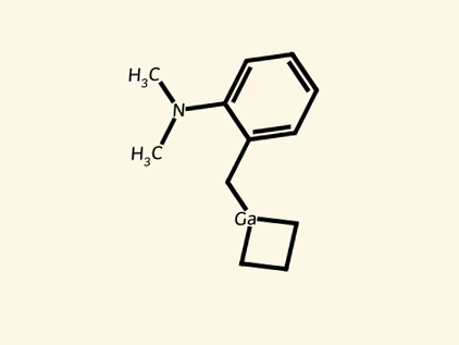 CN(C)c1ccccc1[CH2][Ga]1[CH2]C[CH2]1